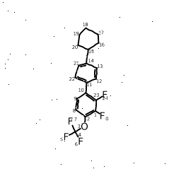 Fc1c(OC(F)(F)F)ccc(-c2ccc(C3CCCCC3)cc2)c1F